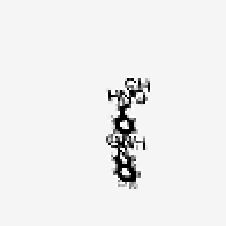 O=C(O)NCCc1ccc(NC(=O)N2C=C3CC=CC=C3C2)cc1